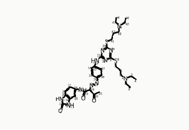 CCN(CC)CCCSc1nc(Nc2ccc(N=NC(C(C)=O)C(=O)Nc3ccc4[nH]c(=O)[nH]c4c3)cc2)nc(SCCCN(CC)CC)n1